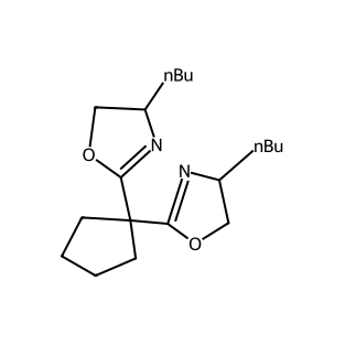 CCCCC1COC(C2(C3=NC(CCCC)CO3)CCCC2)=N1